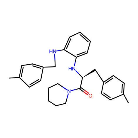 Cc1ccc(CNc2ccccc2N[C@@H](Cc2ccc(C)cc2)C(=O)N2CCCCC2)cc1